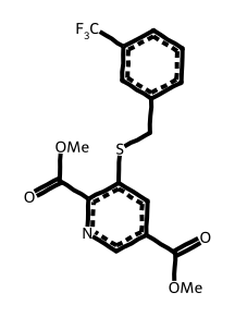 COC(=O)c1cnc(C(=O)OC)c(SCc2cccc(C(F)(F)F)c2)c1